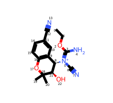 CCOC(N)=[N+](C#N)[C@H]1c2cc(C#N)ccc2OC(C)(C)[C@@H]1O